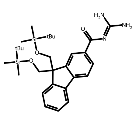 CC(C)(C)[Si](C)(C)OCC1(CO[Si](C)(C)C(C)(C)C)c2ccccc2-c2ccc(C(=O)N=C(N)N)cc21